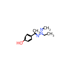 C=NN(CC)/N=C(\C)c1ccc(O)cc1